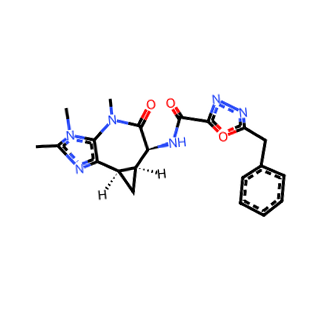 Cc1nc2c(n1C)N(C)C(=O)[C@@H](NC(=O)c1nnc(Cc3ccccc3)o1)[C@H]1C[C@@H]21